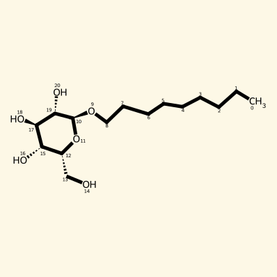 CCCCCCCCCO[C@H]1O[C@H](CO)[C@H](O)[C@@H](O)[C@@H]1O